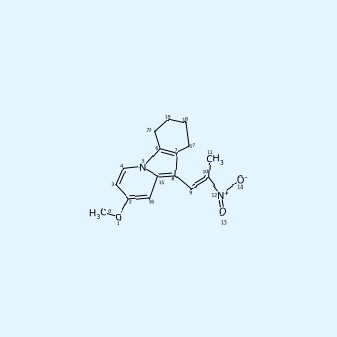 COc1ccn2c3c(c(C=C(C)[N+](=O)[O-])c2c1)CCCC3